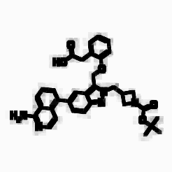 CC(C)(C)OC(=O)N1CC(Cn2nc3ccc(-c4cccc5c(N)nccc45)cc3c2COc2ccccc2CC(=O)O)C1